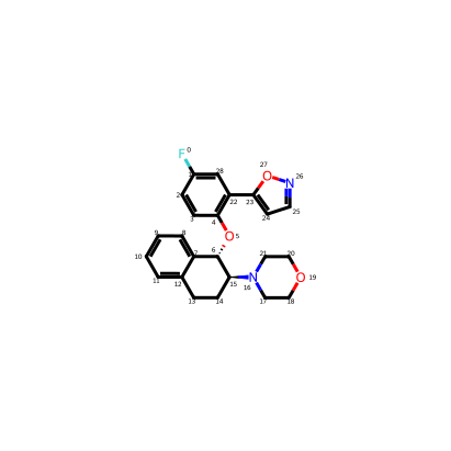 Fc1ccc(O[C@H]2c3ccccc3CC[C@@H]2N2CCOCC2)c(-c2ccno2)c1